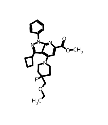 CCOCC1(F)CCN(c2cc(C(=O)OC)nc3c2c(C2CCC2)nn3-c2ccccc2)CC1